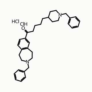 Cl.Cl.O=C(CCCCC1CCN(Cc2ccccc2)CC1)c1ccc2c(c1)CCN(Cc1ccccc1)CC2